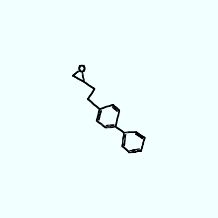 c1ccc(-c2ccc(CCC3CO3)cc2)cc1